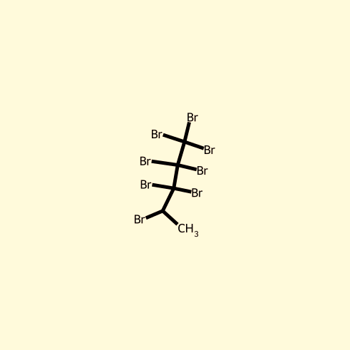 CC(Br)C(Br)(Br)C(Br)(Br)C(Br)(Br)Br